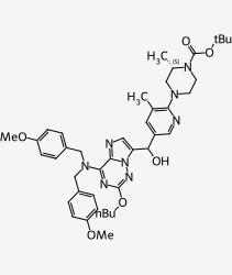 CCCCOc1nc(N(Cc2ccc(OC)cc2)Cc2ccc(OC)cc2)c2ncc(C(O)c3cnc(N4CCN(C(=O)OC(C)(C)C)[C@@H](C)C4)c(C)c3)n2n1